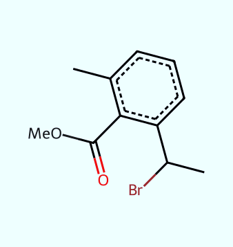 COC(=O)c1c(C)cccc1C(C)Br